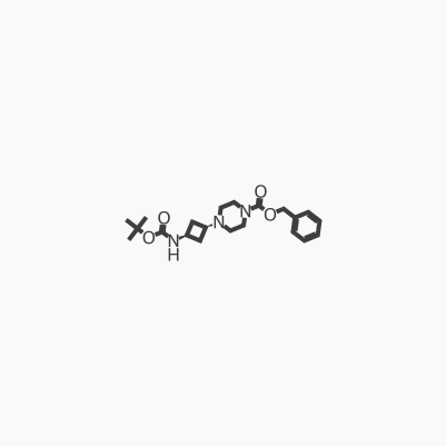 CC(C)(C)OC(=O)N[C@H]1C[C@H](N2CCN(C(=O)OCc3ccccc3)CC2)C1